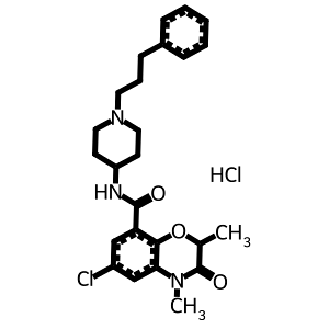 CC1Oc2c(C(=O)NC3CCN(CCCc4ccccc4)CC3)cc(Cl)cc2N(C)C1=O.Cl